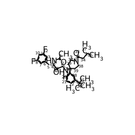 CC(=O)N[C@@H](Cc1cc(F)cc(F)c1)[C@@H](O)CNC1(c2cccc(C(C)(C)C)c2)CCN(C(=O)CC(C)C)CC1